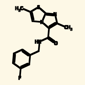 Cc1cn2c(C(=O)NCc3cccc(F)c3)c(C)nc2s1